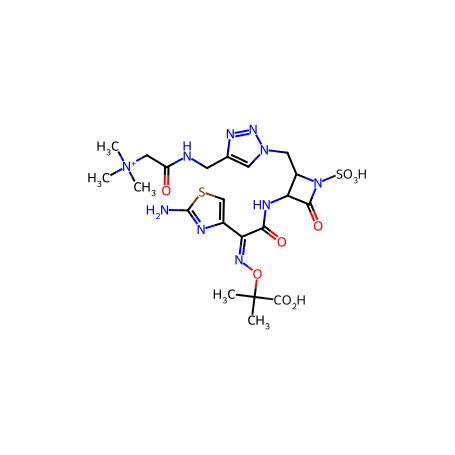 CC(C)(O/N=C(\C(=O)NC1C(=O)N(S(=O)(=O)O)C1Cn1cc(CNC(=O)C[N+](C)(C)C)nn1)c1csc(N)n1)C(=O)O